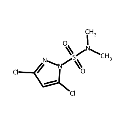 CN(C)S(=O)(=O)n1nc(Cl)cc1Cl